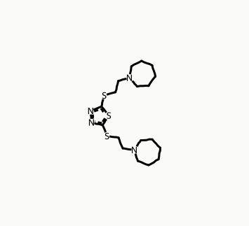 C1CCCN(CCSc2nnc(SCCN3CCCCCC3)s2)CC1